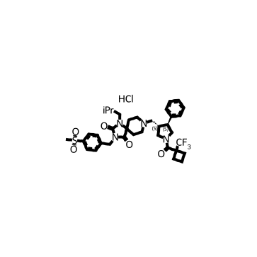 CC(C)CN1C(=O)N(Cc2ccc(S(C)(=O)=O)cc2)C(=O)C12CCN(C[C@H]1CN(C(=O)C3(C(F)(F)F)CCC3)C[C@@H]1c1ccccc1)CC2.Cl